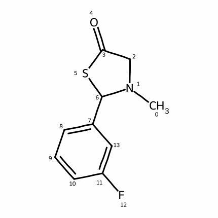 CN1CC(=O)SC1c1cccc(F)c1